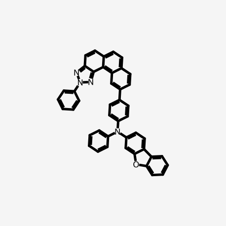 c1ccc(N(c2ccc(-c3ccc4ccc5ccc6nn(-c7ccccc7)nc6c5c4c3)cc2)c2ccc3c(c2)oc2ccccc23)cc1